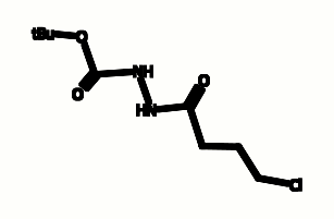 CC(C)(C)OC(=O)NNC(=O)CCCCl